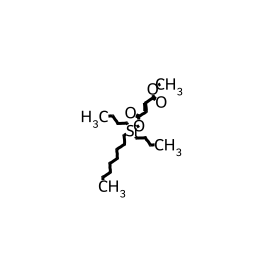 CCCCCCCC[Si](CCCC)(CCCC)OC(=O)C=CC(=O)OC